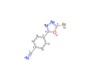 N#Cc1ccc(-c2nnc(Br)o2)cc1